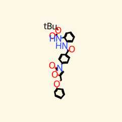 CC(C)(C)OC(=O)Nc1ccccc1NC(=O)c1ccc(-n2cc(COc3ccccc3)oc2=O)cc1